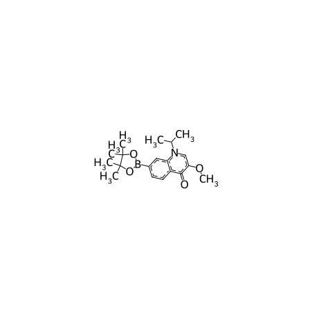 COc1cn(C(C)C)c2cc(B3OC(C)(C)C(C)(C)O3)ccc2c1=O